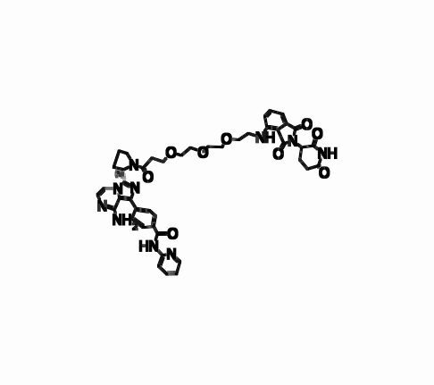 Nc1nccn2c([C@@H]3CCCN3C(=O)CCOCCOCCOCCNc3cccc4c3C(=O)N(C3CCC(=O)NC3=O)C4=O)nc(-c3ccc(C(=O)Nc4ccccn4)cc3)c12